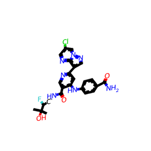 CC(C)(O)C(F)CNC(=O)c1cnc(-c2cnn3cc(Cl)cnc23)cc1Nc1ccc(C(N)=O)cc1